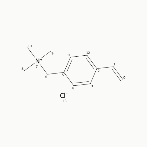 C=Cc1ccc(C[N+](C)(C)C)cc1.[Cl-]